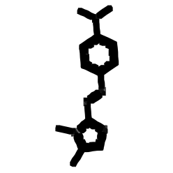 Cc1csc(N=Nc2ccc(N(C)C)cc2)[n+]1C